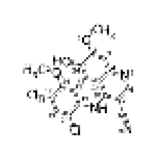 COc1cc2ncc(C#N)c(Nc3cc(OC)c(Cl)cc3Cl)c2cc1O